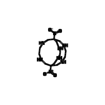 O=[N+]([O-])C12CNCCNCC([N+](=O)[O-])(CNCCNC1)CNCCNC2